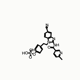 Cc1ccc(C(=O)Nc2nc3cc(C#N)ccc3n2CCc2ccc(OP(=O)(O)O)cc2)cn1